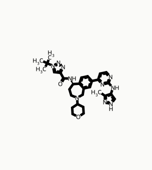 Cc1n[nH]cc1Nc1nccc(-c2ccc3c(c2)CN(C2CCOCC2)CC[C@H]3NC(=O)c2cn(C(C)(C)C)nn2)n1